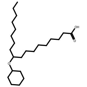 CCCCCCCCC(CCCCCCCCC(=O)O)OC1CCCCC1